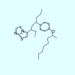 CCCCCCC(C)Oc1ccc(C(CCC)CC(CC)c2csc3nccn23)cc1